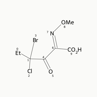 CCC(Cl)(Br)C(=O)C(=NOC)C(=O)O